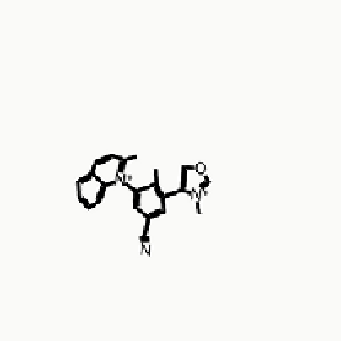 Cc1c(-c2coc[n+]2C)cc(C#N)cc1-[n+]1c(C)ccc2ccccc21